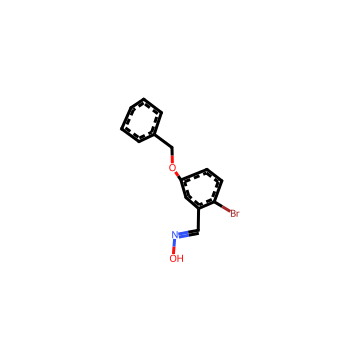 ON=Cc1cc(OCc2ccccc2)ccc1Br